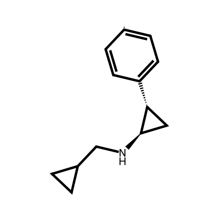 [c]1ccc([C@@H]2C[C@H]2NCC2CC2)cc1